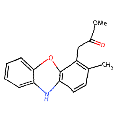 COC(=O)Cc1c(C)ccc2c1Oc1ccccc1N2